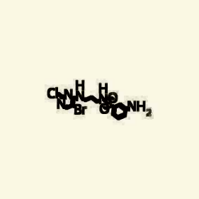 Nc1cccc(S(=O)(=O)NCCCNc2nc(Cl)ncc2Br)c1